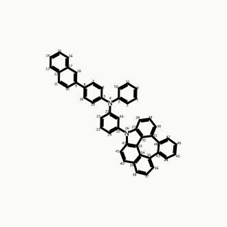 c1ccc(N(c2ccc(-c3ccc4ccccc4c3)cc2)c2cccc(-n3c4cccc5c4c4c6c(cccc6ccc43)-c3ccccc3-5)c2)cc1